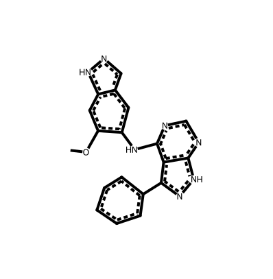 COc1cc2[nH]ncc2cc1Nc1ncnc2[nH]nc(-c3ccccc3)c12